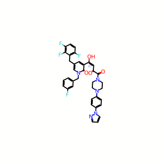 O=C(/C=C(/O)c1cc(Cc2c(F)ccc(F)c2F)cn(Cc2cccc(F)c2)c1=O)C(=O)N1CCN(c2ccc(-n3cccn3)cc2)CC1